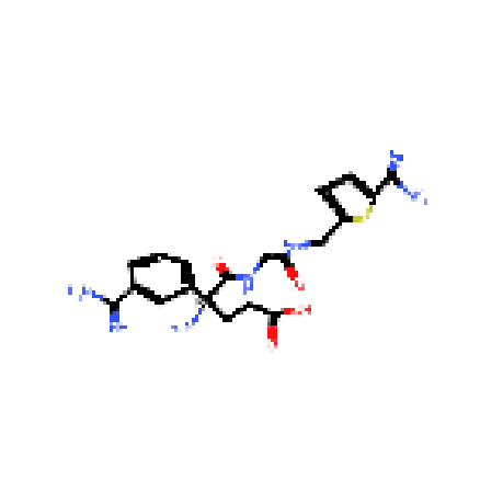 N=C(N)c1cccc([C@@](N)(CCC(=O)O)C(=O)NCC(=O)NCc2ccc(C(=N)N)s2)c1